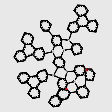 c1ccc(-c2cc3c4c(c2)N(c2ccc5c6ccccc6c6ccccc6c5c2)c2cc5c(cc2B4c2ccccc2N3c2ccc3c4ccccc4c4ccccc4c3c2)B2c3ccccc3N(c3c(-c4ccccc4)cccc3-c3ccccc3)c3cc(-c4ccccc4)cc(c32)N5c2ccc3c4ccccc4c4ccccc4c3c2)cc1